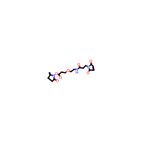 C=C1CCC(=O)N1OC(=O)CCOCCNC(=O)CCN1C(=O)C=CC1=O